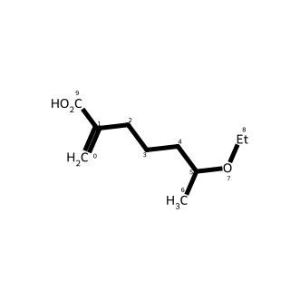 C=C(CCCC(C)OCC)C(=O)O